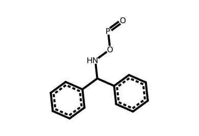 O=PONC(c1ccccc1)c1ccccc1